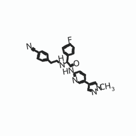 Cn1cc(-c2ccc(NC(=O)[C@@H](NCCc3ccc(C#N)cc3)c3ccc(F)cc3)nc2)cn1